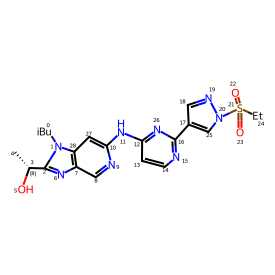 CCC(C)n1c([C@@H](C)O)nc2cnc(Nc3ccnc(-c4cnn(S(=O)(=O)CC)c4)n3)cc21